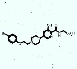 O=C(O)CNC(=O)c1ncc(N2CCN(CCOc3ccc(Br)cc3)CC2)cc1O